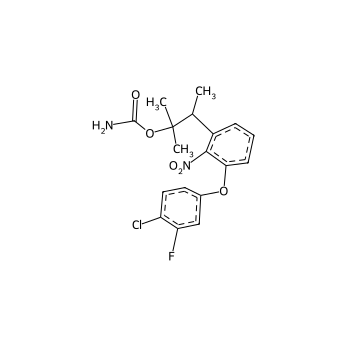 CC(c1cccc(Oc2ccc(Cl)c(F)c2)c1[N+](=O)[O-])C(C)(C)OC(N)=O